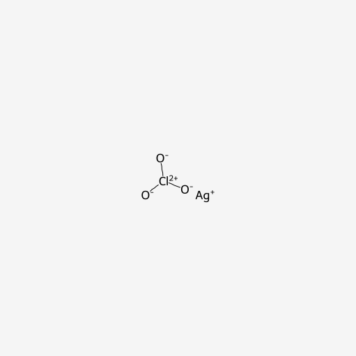 [Ag+].[O-][Cl+2]([O-])[O-]